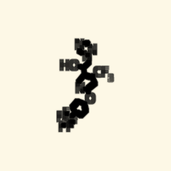 OC(Cn1cncn1)c1cnc(Oc2ccc(S(F)(F)(F)(F)F)cc2)cc1C(F)(F)F